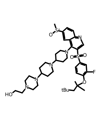 C[S+]([O-])c1ccc2ncc(S(=O)(=O)c3ccc(OC(C)(C)CC(C)(C)C)c(F)c3)c(N3CCC(N4CCC(N5CCN(CCO)CC5)CC4)CC3)c2c1